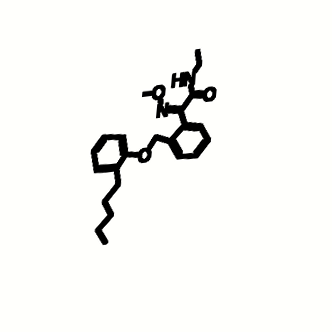 CCCCCc1ccccc1OCc1ccccc1C(=NOC)C(=O)NCC